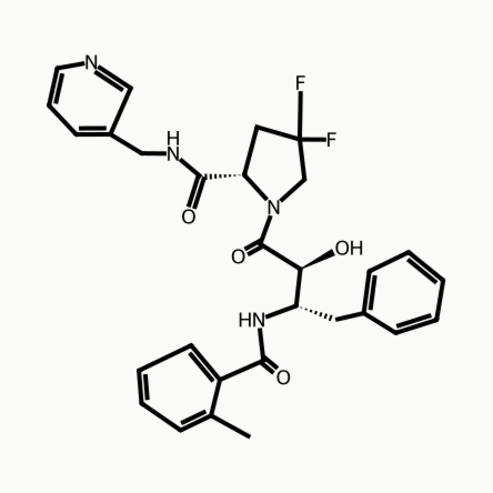 Cc1ccccc1C(=O)N[C@@H](Cc1ccccc1)[C@H](O)C(=O)N1CC(F)(F)C[C@H]1C(=O)NCc1cccnc1